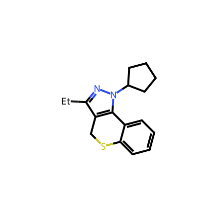 CCc1nn(C2CCCC2)c2c1CSc1ccccc1-2